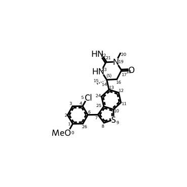 COc1ccc(Cl)c(-c2csc3ccc([C@]4(C)CC(=O)N(C)C(=N)N4)cc23)c1